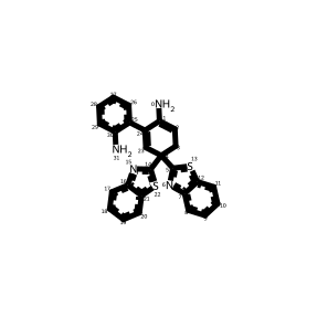 NC1=CCC(c2nc3ccccc3s2)(c2nc3ccccc3s2)C=C1c1ccccc1N